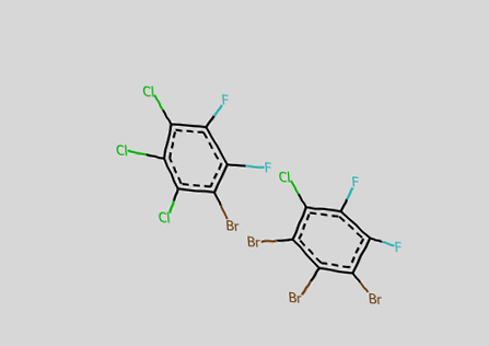 Fc1c(F)c(Br)c(Br)c(Br)c1Cl.Fc1c(F)c(Br)c(Cl)c(Cl)c1Cl